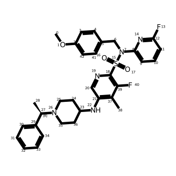 COc1ccc(CN(c2cccc(F)n2)S(=O)(=O)c2ncc(NC3CCN([C@H](C)c4ccccc4)CC3)c(C)c2F)cc1